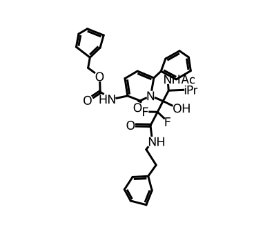 CC(=O)NC(C(C)C)C(O)(n1c(-c2ccccc2)ccc(NC(=O)OCc2ccccc2)c1=O)C(F)(F)C(=O)NCCc1ccccc1